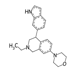 CCN1Cc2cc(N3CCOCC3)ccc2C(c2ccc3cc[nH]c3c2)C1